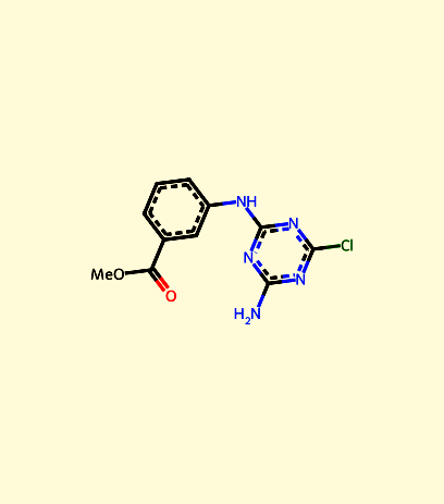 COC(=O)c1cccc(Nc2nc(N)nc(Cl)n2)c1